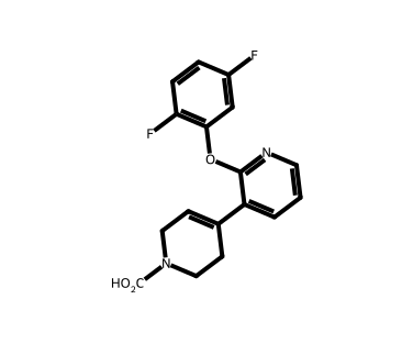 O=C(O)N1CC=C(c2cccnc2Oc2cc(F)ccc2F)CC1